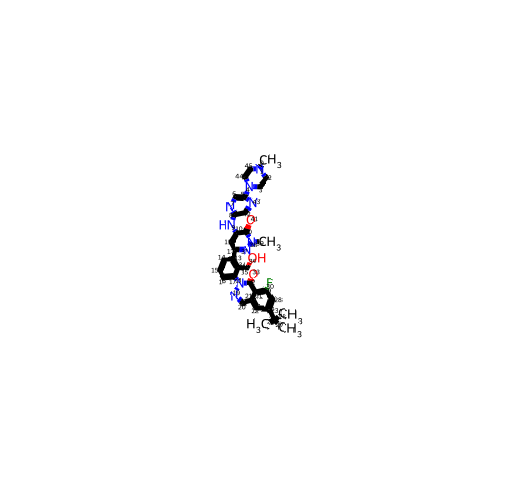 CN1CCN(c2cnc(Nc3cc(-c4cccc(-n5ncc6cc(C(C)(C)C)cc(F)c6c5=O)c4CO)nn(C)c3=O)cn2)CC1